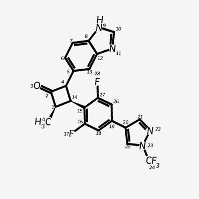 C[C@H]1C(=O)C(c2ccc3[nH]cnc3c2)[C@H]1c1c(F)cc(-c2cnn(C(F)(F)F)c2)cc1F